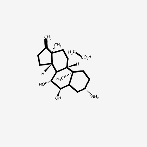 C=C1CC[C@H]2C3[C@@H](O)[C@H](O)C4C[C@@H](N)CC[C@]4(C)[C@H]3CC[C@]12C.CC(=O)O